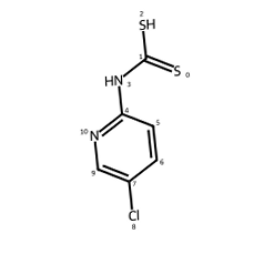 S=C(S)Nc1ccc(Cl)cn1